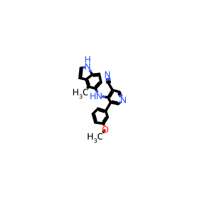 COc1cccc(-c2cncc(C#N)c2Nc2ccc3[nH]ccc3c2C)c1